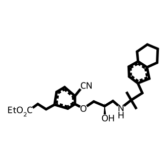 CCOC(=O)CCc1ccc(C#N)c(OC[C@H](O)CNC(C)(C)Cc2ccc3c(c2)CCCC3)c1